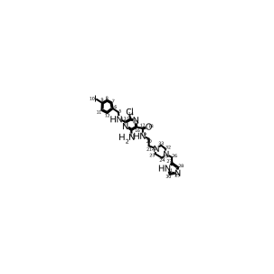 Nc1nc(NCc2ccc(I)cc2)c(Cl)nc1C(=O)NCCN1CCN(Cc2cnc[nH]2)CC1